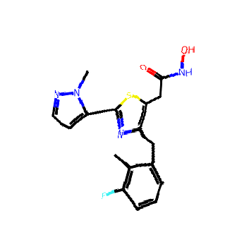 Cc1c(F)cccc1Cc1nc(-c2ccnn2C)sc1CC(=O)NO